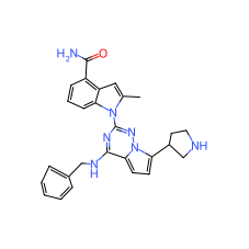 Cc1cc2c(C(N)=O)cccc2n1-c1nc(NCc2ccccc2)c2ccc(C3CCNC3)n2n1